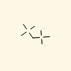 CO[Si](C)(C[N+](C)(C)C)OC